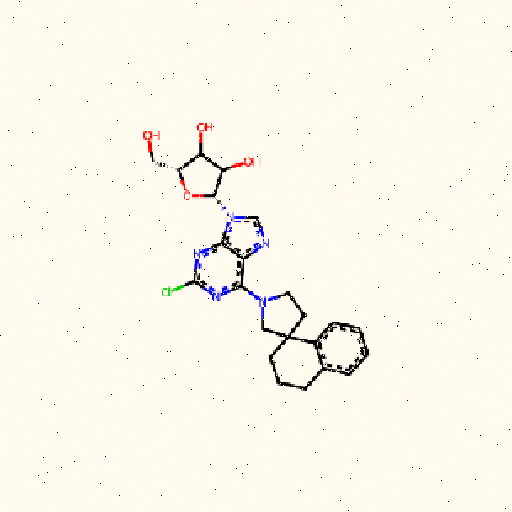 OC[C@H]1O[C@@H](n2cnc3c(N4CCC5(CCCc6ccccc65)C4)nc(Cl)nc32)C(O)C1O